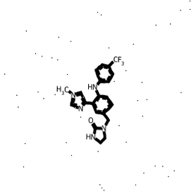 Cn1cnc(-c2cc(CN3CCNC3=O)ccc2Nc2ccc(C(F)(F)F)cc2)c1